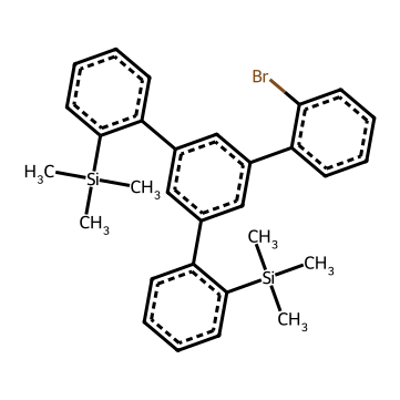 C[Si](C)(C)c1ccccc1-c1cc(-c2ccccc2Br)cc(-c2ccccc2[Si](C)(C)C)c1